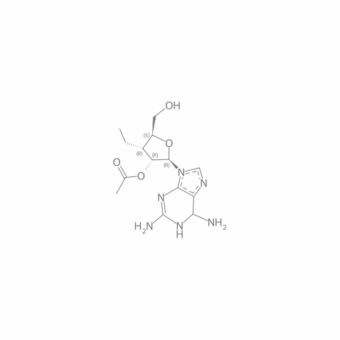 CC[C@H]1[C@@H](OC(C)=O)[C@H](n2cnc3c2N=C(N)NC3N)O[C@@H]1CO